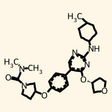 CC1CCC(Nc2ncc(-c3ccc(OC4CCN(C(=O)N(C)C)C4)cc3)c(O[C@@H]3CCOC3)n2)CC1